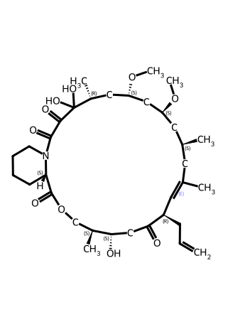 C=CC[C@@H]1/C=C(\C)C[C@H](C)C[C@H](OC)C[C@@H](OC)C[C@@H](C)C(O)(O)C(=O)C(=O)N2CCCC[C@H]2C(=O)OC[C@H](C)[C@@H](O)CC1=O